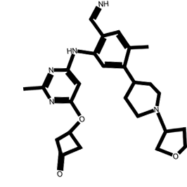 Cc1nc(Nc2cc(C3CCN(C4CCOC4)CC3)c(C)cc2C=N)cc(OC2CC(=O)C2)n1